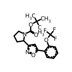 CC(C)(C)OC(=O)N1CCCC1c1cc(-c2ccccc2OC(F)(F)F)on1